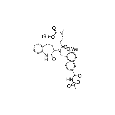 COc1ccc2cc(C(=O)NS(C)(=O)=O)ccc2c1CN(C(=O)CCN(C)C(=O)OC(C)(C)C)C1CCc2ccccc2NC1=O